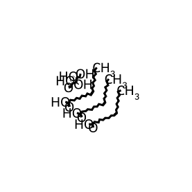 CCCCCCCC/C=C\CCCCCCCC(=O)O.CCCCCCCC/C=C\CCCCCCCC(=O)O.CCCCCCCC/C=C\CCCCCCCC(=O)O.O=C[C@H](O)[C@H](O)[C@H](O)CO